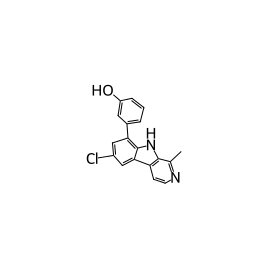 Cc1nccc2c1[nH]c1c(-c3cccc(O)c3)cc(Cl)cc12